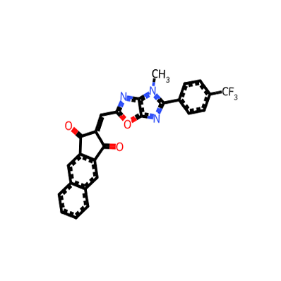 Cn1c(-c2ccc(C(F)(F)F)cc2)nc2oc(C=C3C(=O)c4cc5ccccc5cc4C3=O)nc21